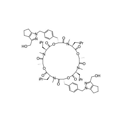 CC(C)C[C@H]1C(=O)O[C@H](Cc2ccc(Cn3nc(CO)c4c3CCC4)cc2)C(=O)N(C)[C@@H](CC(C)C)C(=O)O[C@H](C)C(=O)N(C)[C@@H](CC(C)C)C(=O)O[C@H](Cc2ccc(Cn3nc(CO)c4c3CCC4)cc2)C(=O)N(C)[C@@H](CC(C)C)C(=O)O[C@H](C)C(=O)N1C